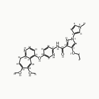 CCOc1cn(-c2ccn(C)c2)nc1C(=O)Nc1ccc(Oc2ccnc3c2C=C(OC)C(OC)=CC3)cn1